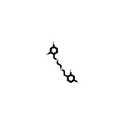 Fc1ccc(CCOCCOCc2ccc(F)cc2F)c(F)c1